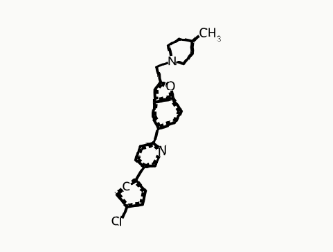 CC1CCN(Cc2cc3cc(-c4ccc(-c5ccc(Cl)cc5)cn4)ccc3o2)CC1